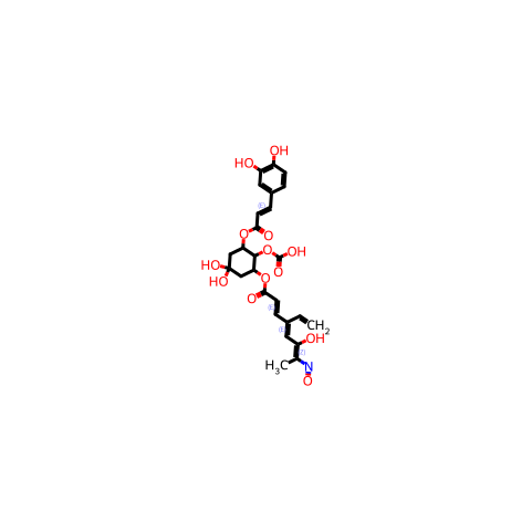 C=CC(/C=C/C(=O)OC1CC(O)(O)CC(OC(=O)/C=C/c2ccc(O)c(O)c2)C1OC(=O)O)=C\C(O)=C(/C)N=O